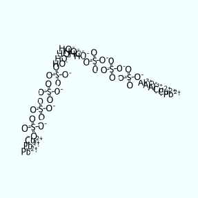 O=S(=O)([O-])[O-].O=S(=O)([O-])[O-].O=S(=O)([O-])[O-].O=S(=O)([O-])[O-].O=S(=O)([O-])[O-].O=S(=O)([O-])[O-].O=S(=O)([O-])[O-].[Al+3].[Al+3].[Al+3].[Cu+2].[Cu+2].[Cu+2].[OH-].[OH-].[OH-].[OH-].[OH-].[OH-].[OH-].[Pb+2].[Pb+2].[Pb+2]